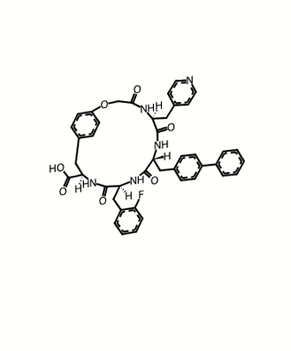 O=C1COc2ccc(cc2)C[C@H](C(=O)O)NC(=O)[C@H](Cc2ccccc2F)NC(=O)[C@@H](Cc2ccc(-c3ccccc3)cc2)NC(=O)[C@H](Cc2ccncc2)N1